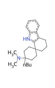 CCCCC1(N(C)C)CCC2(CCCc3c2[nH]c2ccccc32)CC1